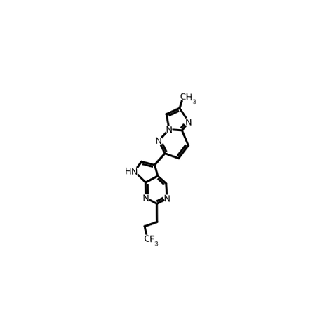 Cc1cn2nc(-c3c[nH]c4nc(CCC(F)(F)F)ncc34)ccc2n1